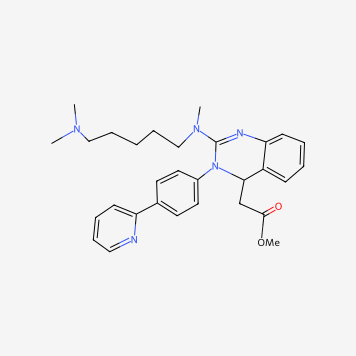 COC(=O)CC1c2ccccc2N=C(N(C)CCCCCN(C)C)N1c1ccc(-c2ccccn2)cc1